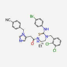 CC[C@@H](CN(Cc1cccc(Cl)c1Cl)C(=S)Nc1ccc(Br)cc1)NC(=O)Cc1cncn1Cc1ccc(C#N)cc1